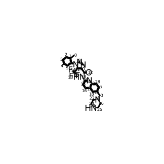 Cc1ccccc1-n1nnc(C(=O)Nc2ccc3cc(CN4CCNCC4)ccc3n2)c1C(F)(F)F